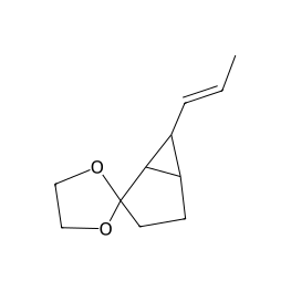 CC=CC1C2CCC3(OCCO3)C12